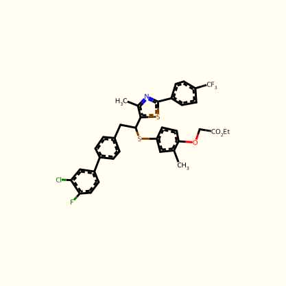 CCOC(=O)COc1ccc(SC(Cc2ccc(-c3ccc(F)c(Cl)c3)cc2)c2sc(-c3ccc(C(F)(F)F)cc3)nc2C)cc1C